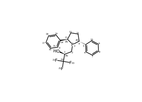 O[C@@H](CP1[C@@H](c2ccccc2)CC[C@@H]1c1ccccc1)C(F)(F)F